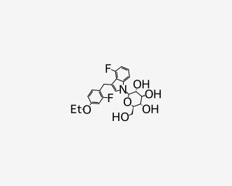 CCOc1ccc(Cc2cn([C@@H]3O[C@H](CO)[C@@H](O)[C@H](O)[C@H]3O)c3cccc(F)c23)c(F)c1